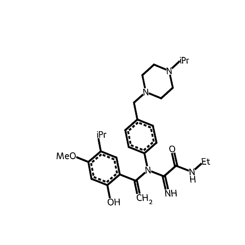 C=C(c1cc(C(C)C)c(OC)cc1O)N(C(=N)C(=O)NCC)c1ccc(CN2CCN(C(C)C)CC2)cc1